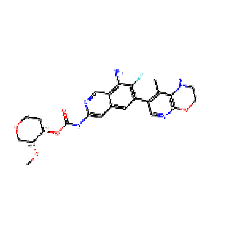 CO[C@@H]1COCC[C@H]1OC(=O)Nc1cc2cc(-c3cnc4c(c3C)NCCO4)c(F)c(N)c2cn1